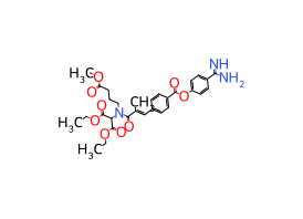 CCOC(=O)C(C(=O)OCC)N(CCCC(=O)OC)C(=O)/C(C)=C/c1ccc(C(=O)Oc2ccc(C(=N)N)cc2)cc1